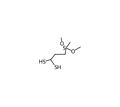 CO[Si](C)(CCC(S)S)OC